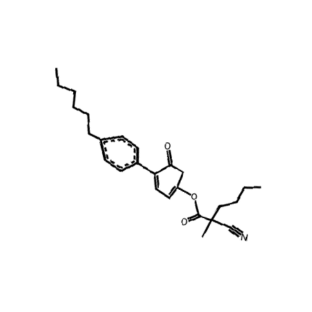 CCCCCCc1ccc(C2=CC=C(OC(=O)C(C)(C#N)CCCC)CC2=O)cc1